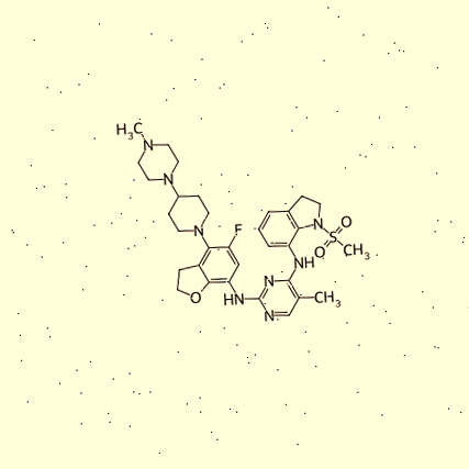 Cc1cnc(Nc2cc(F)c(N3CCC(N4CCN(C)CC4)CC3)c3c2OCC3)nc1Nc1cccc2c1N(S(C)(=O)=O)CC2